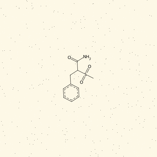 CS(=O)(=O)C(Cc1ccccc1)C(N)=O